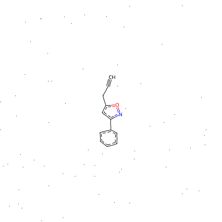 C#CCc1cc(-c2ccccc2)no1